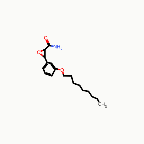 CCCCCCCCCOc1cccc(C2OC2C(N)=O)c1